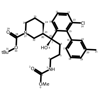 COC(=O)NCCC[C@@](O)(c1cccc(Cl)c1-c1cccc(C)c1)[C@@H]1CCCN(C(=O)OC(C)(C)C)C1